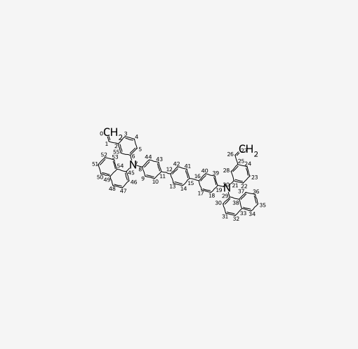 C=Cc1cccc(N(c2ccc(-c3ccc(-c4ccc(N(c5cccc(C=C)c5)c5cccc6ccccc56)cc4)cc3)cc2)c2cccc3ccccc23)c1